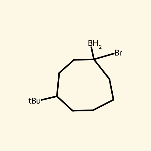 BC1(Br)CCCCC(C(C)(C)C)CC1